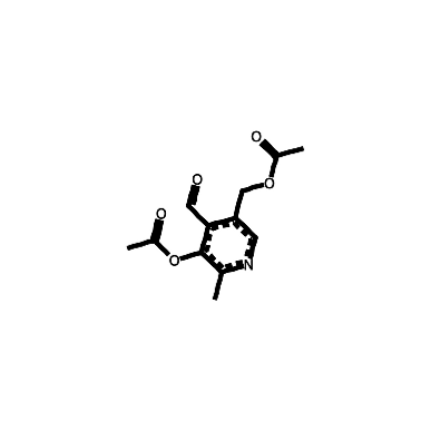 CC(=O)OCc1cnc(C)c(OC(C)=O)c1C=O